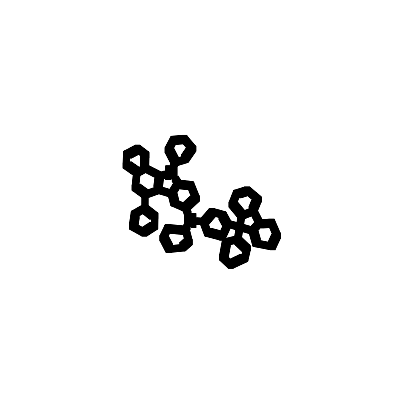 c1ccc(-c2cc3ccccc3c3c2c2cc(N(c4ccccc4)c4ccc(C5(c6ccccc6)c6ccccc6-c6ccccc65)cc4)ccc2n3-c2ccccc2)cc1